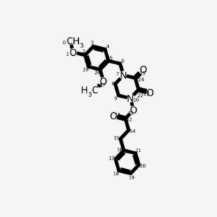 COc1ccc(CN2CCN(OC(=O)CCc3ccccc3)C(=O)C2=O)c(OC)c1